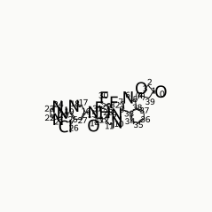 O=C1CO[C@@H](c2ncc(-n3ncc(C(=O)Nc4cnc(-n5nccn5)c(Cl)c4)c3C(F)(F)F)c3ccccc23)C1